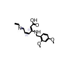 C=C/N=C/C=C\C(=C\C(=O)O)NCc1ccc(OC)cc1OC